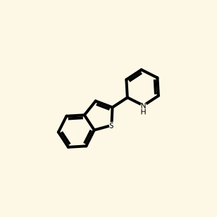 C1=CN[C](c2cc3ccccc3s2)C=C1